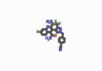 N#Cc1ccc(Cn2cc(-c3c(C(N)=O)nc4cc(F)ccc4c3C(N)=O)c(C(F)(F)F)n2)cc1